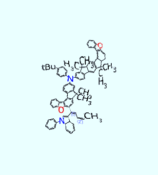 C/C=C\C=C(/C1=CN(c2ccccc2)C2C=CC=CC12)c1cc2c(c3c1oc1ccccc13)-c1ccc(N(c3ccc(C(C)(C)C)cc3)c3ccc4c(c3)C(C)(C)C3CC5=C(C=C43)C(C)(C)C3CC=c4oc6ccccc6c4=C53)cc1C2(C)C